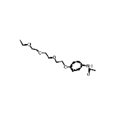 CCOCCOCCOCCOc1ccc(NC(C)=O)cc1